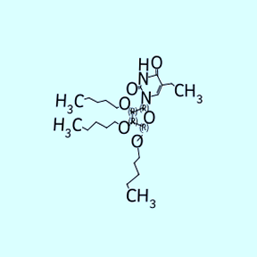 CCCCCOC[C@H]1O[C@@H](n2cc(CC)c(=O)[nH]c2=O)[C@H](OCCCCC)[C@@H]1OCCCCC